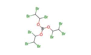 BrC(Br)C(Br)OB(OC(Br)C(Br)Br)OC(Br)C(Br)Br